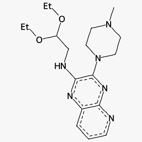 CCOC(CNc1nc2cccnc2nc1N1CCN(C)CC1)OCC